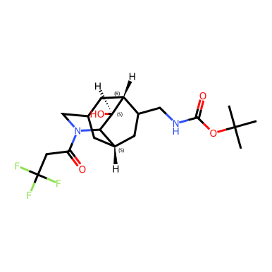 CC(C)(C)OC(=O)NCC1C[C@@H]2CC3C[C@H]1[C@H](O)C2N(C(=O)CC(F)(F)F)C3